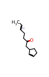 C/C=C/CCC(=O)CC1C=CCC1